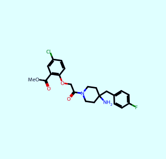 COC(=O)c1cc(Cl)ccc1OCC(=O)N1CCC(N)(Cc2ccc(F)cc2)CC1